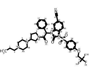 CCCN1CCN(C2CCN(C(=O)C(c3ccccc3)n3c(=O)n(S(=O)(=O)c4ccc(OCC(F)(F)F)cc4)c4ccc(C#N)cc43)C2)CC1